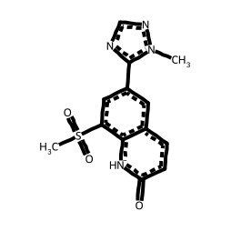 Cn1ncnc1-c1cc(S(C)(=O)=O)c2[nH]c(=O)ccc2c1